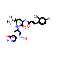 CC(C)(C)CC(NC(=O)/C=C/c1ccc(Cl)cc1Cl)C(=O)NC(C=NO)C[C@@H]1CCNC1=O